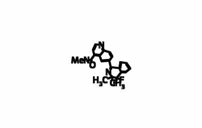 CNC(=O)c1ccnc2ccc(C3=NC(C)(C)C(F)(F)c4ccccc43)cc12